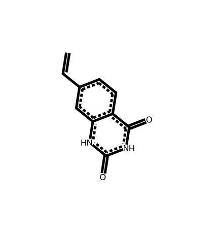 C=Cc1ccc2c(=O)[nH]c(=O)[nH]c2c1